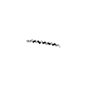 CC(C)(C)OCCOCCOCCOCCOCCN